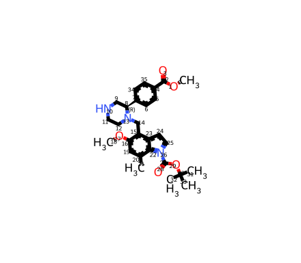 COC(=O)c1ccc([C@@H]2CNCCN2Cc2c(OC)cc(C)c3c2ccn3C(=O)OC(C)(C)C)cc1